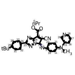 CCCOC(=O)C1=C(C#N)/C(=N\c2ccc(N(C)c3cccnc3)cc2)n2nc(-c3ccc(C(C)(C)C)cc3)nc21